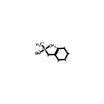 CC(C)(C)[Si](C)(C)CC1=CCCCC1